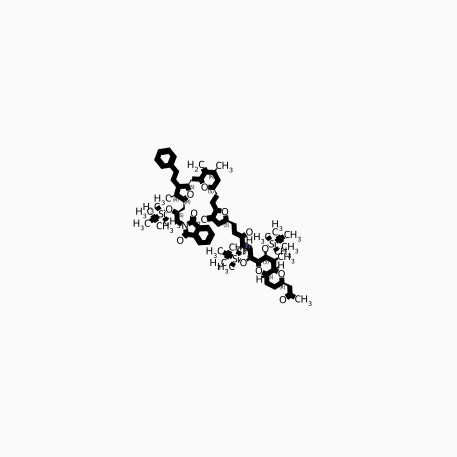 C=C1C[C@H](CCC(O)/C=C/[C@H](O[Si](C)(C)C(C)(C)C)C2O[C@H]3CC[C@H](CC(C)=O)O[C@@H]3[C@H](C)[C@@H]2O[Si](C)(C)C(C)(C)C)OC1CC[C@H]1C[C@@H](C)C(=C)C(C[C@@H]2O[C@H](C[C@@H](CN3C(=O)c4ccccc4C3=O)O[Si](C)(C)C(C)(C)C)[C@H](C)C2CCc2ccccc2)O1